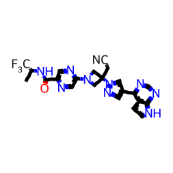 CC(NC(=O)c1cnc(N2CC(CC#N)(n3cc(-c4ncnc5[nH]ccc45)cn3)C2)cn1)C(F)(F)F